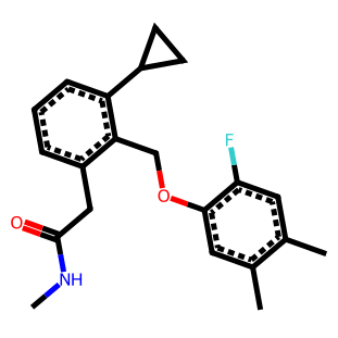 CNC(=O)Cc1cccc(C2CC2)c1COc1cc(C)c(C)cc1F